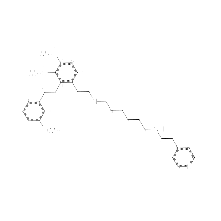 COc1cccc(CCc2c(CCNCCCCCCNCCc3ccncc3)ccc(OC)c2OC)c1